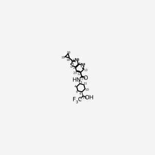 O=C(N[C@H]1CC[C@H](C(O)C(F)(F)F)CC1)c1cnc2nc(C3CC3)sc2c1